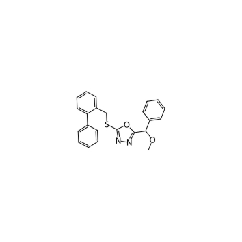 COC(c1ccccc1)c1nnc(SCc2ccccc2-c2ccccc2)o1